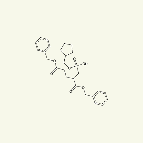 O=C(CCC(CP(=O)(O)OCC1CCCC1)C(=O)OCc1ccccc1)OCc1ccccc1